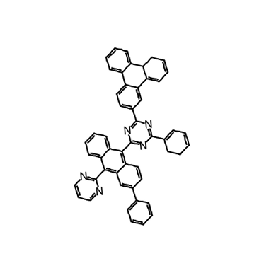 C1=CCCC(c2nc(-c3ccc4c(c3)C3=CC=CCC3c3ccccc3-4)nc(-c3c4ccccc4c(-c4ncccn4)c4cc(-c5ccccc5)ccc34)n2)=C1